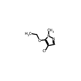 CCOc1c(Cl)[c]nn1C